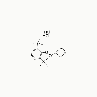 CC(C)(C)c1cccc(C(C)(C)C)c1[O][Zr][C]1=CC=CC1.Cl.Cl